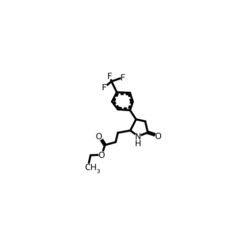 CCOC(=O)CCC1NC(=O)CC1c1ccc(C(F)(F)F)cc1